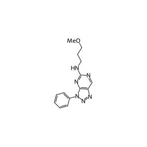 COCCCNc1ncc2nnn(-c3ccccc3)c2n1